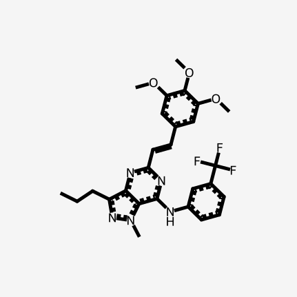 CCCc1nn(C)c2c(Nc3cccc(C(F)(F)F)c3)nc(C=Cc3cc(OC)c(OC)c(OC)c3)nc12